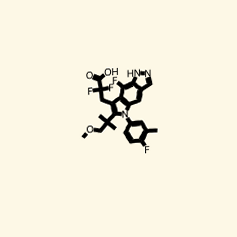 COCC(C)(C)c1c(CC(F)(F)C(=O)O)c2c(F)c3[nH]ncc3cc2n1-c1ccc(F)c(C)c1